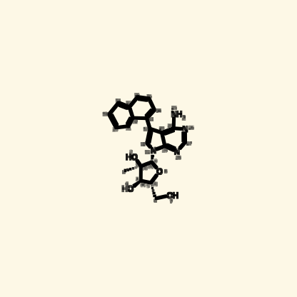 C[C@@]1(O)[C@H](O)[C@@H](CO)O[C@H]1n1cc(-c2cccc3ccccc23)c2c(N)ncnc21